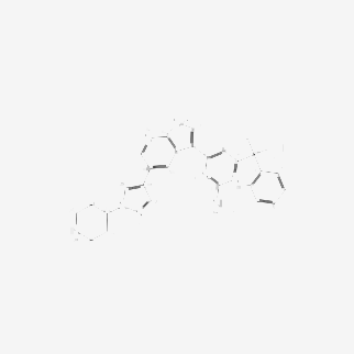 CC(O)(c1ccccc1)c1cc(-c2c[nH]c3ncc(-c4cnn(C5CCNCC5)c4)cc23)nc(N)n1